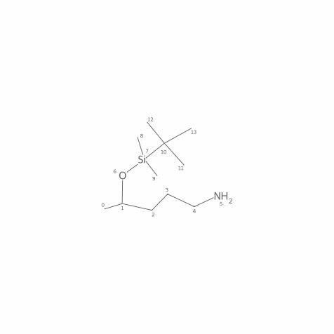 CC(CCCN)O[Si](C)(C)C(C)(C)C